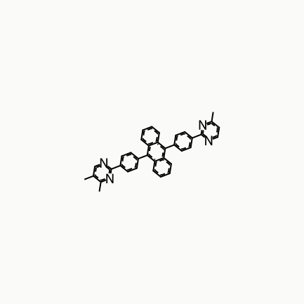 Cc1ccnc(-c2ccc(-c3c4ccccc4c(-c4ccc(-c5ncc(C)c(C)n5)cc4)c4ccccc34)cc2)n1